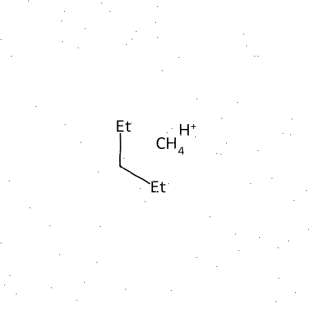 C.CCCCC.[H+]